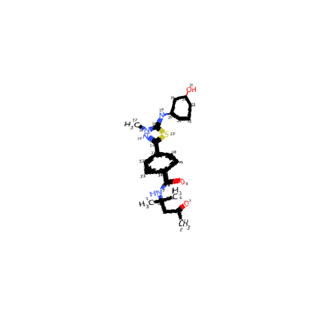 CC(=O)CC(C)(C)NC(=O)c1ccc(-c2nn(C)c(=N[C@@H]3CCC[C@@H](O)C3)s2)cc1